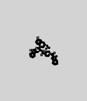 CN(C)C[C@H]1Cc2cc(Cl)ccc2N(C(=O)[C@@H](Cc2c[nH]c3ccccc23)NC(=O)C2CCN(C(=O)c3cc4ccccc4n3C)CC2)C1